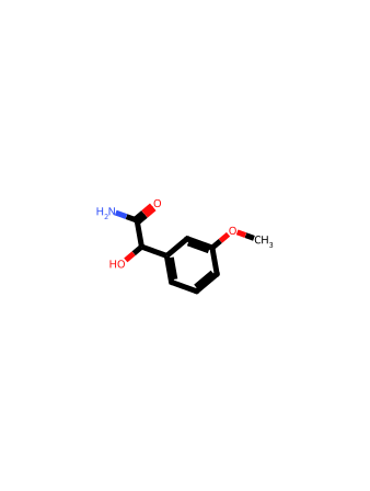 COc1cccc(C(O)C(N)=O)c1